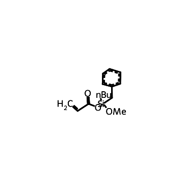 C=CC(=O)O[Si](CCCC)(Cc1ccccc1)OC